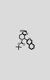 CC(C)(C)OC(=O)N1CCc2[nH]cnc2C1c1cc2ccccc2cn1